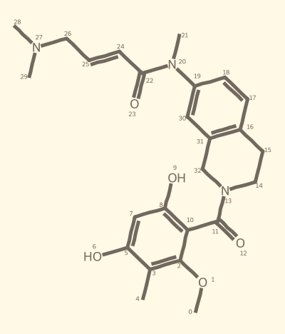 COc1c(C)c(O)cc(O)c1C(=O)N1CCc2ccc(N(C)C(=O)/C=C/CN(C)C)cc2C1